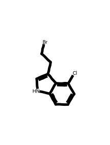 Clc1cccc2[nH]cc(CCBr)c12